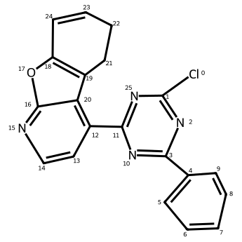 Clc1nc(-c2ccccc2)nc(-c2ccnc3oc4c(c23)CCC=C4)n1